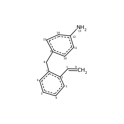 C=Cc1ccccc1Cc1ccc(N)cc1